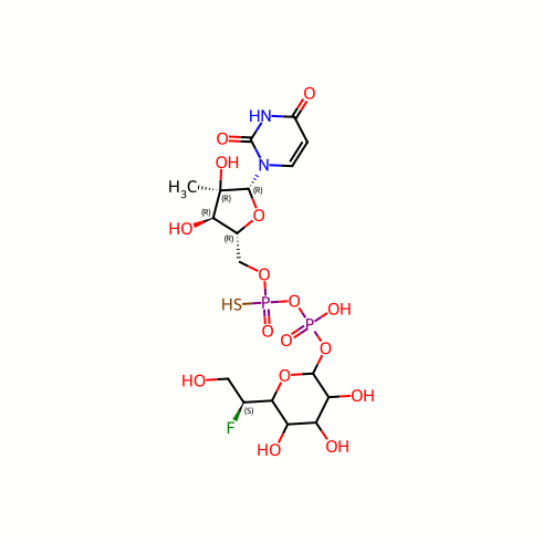 C[C@@]1(O)[C@H](O)[C@@H](COP(=O)(S)OP(=O)(O)OC2OC([C@@H](F)CO)C(O)C(O)C2O)O[C@H]1n1ccc(=O)[nH]c1=O